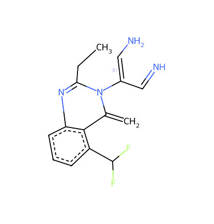 C=C1c2c(cccc2C(F)F)N=C(CC)N1/C(C=N)=C/N